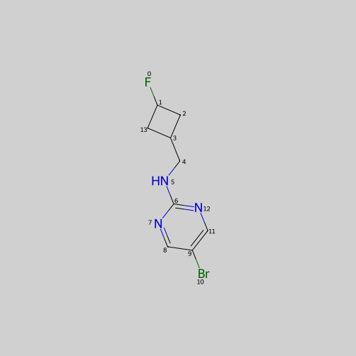 FC1CC(CNc2ncc(Br)cn2)C1